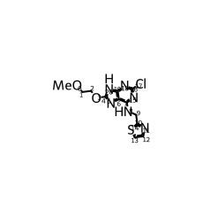 COCCOc1nc2c(NCc3nccs3)nc(Cl)nc2[nH]1